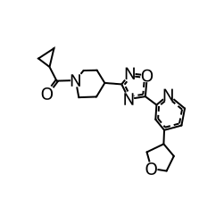 O=C(C1CC1)N1CCC(c2noc(-c3cc(C4CCOC4)ccn3)n2)CC1